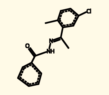 C/C(=N\NC(=O)c1ccccc1)c1cc(Cl)ccc1C